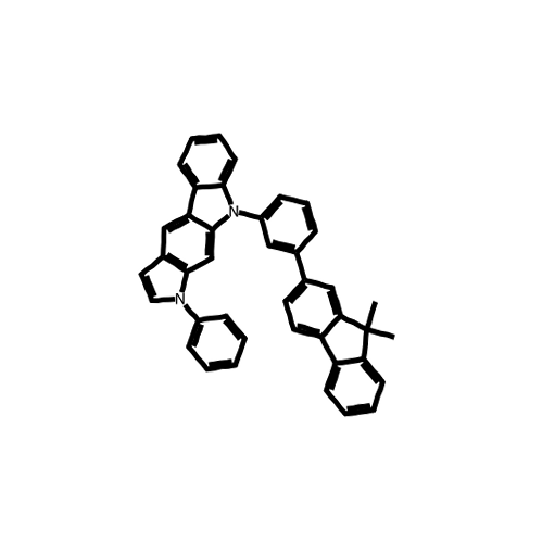 CC1(C)c2ccccc2-c2ccc(-c3cccc(-n4c5ccccc5c5cc6ccn(-c7ccccc7)c6cc54)c3)cc21